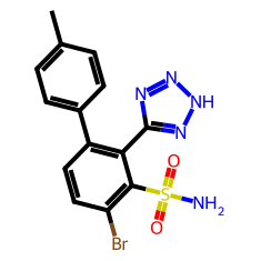 Cc1ccc(-c2ccc(Br)c(S(N)(=O)=O)c2-c2nn[nH]n2)cc1